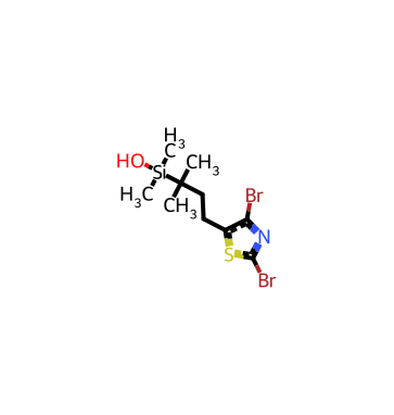 CC(C)(CCc1sc(Br)nc1Br)[Si](C)(C)O